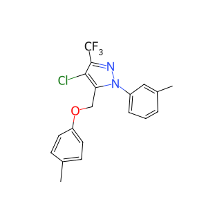 Cc1ccc(OCc2c(Cl)c(C(F)(F)F)nn2-c2cccc(C)c2)cc1